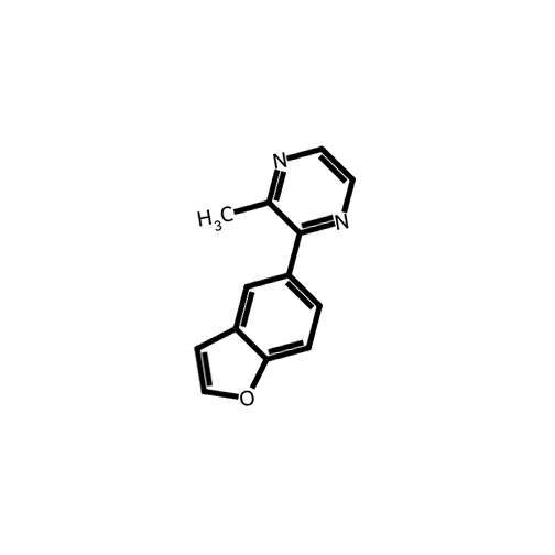 Cc1nccnc1-c1ccc2occc2c1